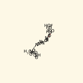 Cn1c(=O)n(C2CCC(=O)NC2=O)c2ccc(CCCN3CCN(c4cnc(-c5ccn6cc([C@]78CC[C@](CNC(=O)c9cc(F)c(O)c(F)c9F)(CC7)CC8)nc6c5)cn4)CC3)cc21